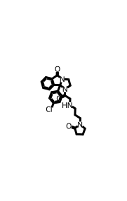 O=C1CCCN1CCCNCC(=O)N1CCN2C(=O)c3ccccc3C12c1ccc(Cl)cc1